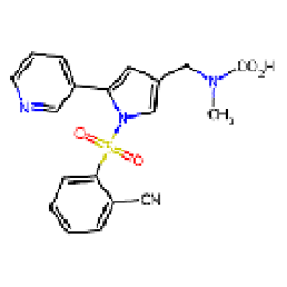 CN(Cc1cc(-c2cccnc2)n(S(=O)(=O)c2ccccc2C#N)c1)C(=O)O